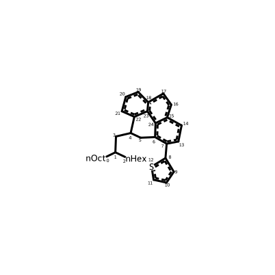 CCCCCCCCC(CCCCCC)CC1Cc2c(-c3cccs3)ccc3ccc4cccc1c4c23